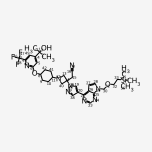 CC(C)(O)c1cc(OC2CCC(N3CC(CC#N)(n4cc(-c5ncnc6c5ccn6COCC[Si](C)(C)C)cn4)C3)CC2)nc(C(F)(F)F)c1